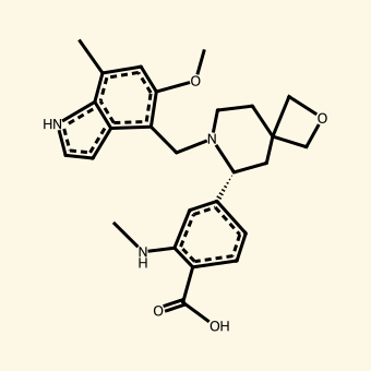 CNc1cc([C@H]2CC3(CCN2Cc2c(OC)cc(C)c4[nH]ccc24)COC3)ccc1C(=O)O